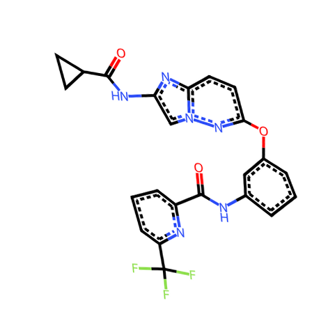 O=C(Nc1cccc(Oc2ccc3nc(NC(=O)C4CC4)cn3n2)c1)c1cccc(C(F)(F)F)n1